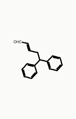 O=CC=CCC(c1ccccc1)c1ccccc1